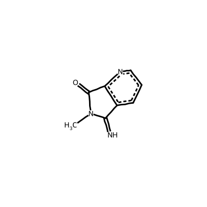 CN1C(=N)c2cccnc2C1=O